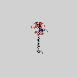 CCCCCCCCCCCCCC[C@H](O)[C@@H](O)[C@H](/C=C/[C@H]1OC(CO)[C@H](O)[C@H](O)C1O)NC(C)=O